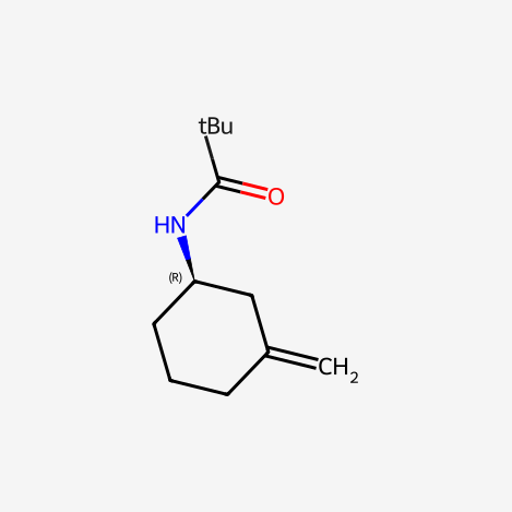 C=C1CCC[C@@H](NC(=O)C(C)(C)C)C1